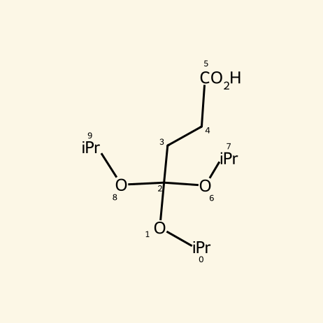 CC(C)OC(CCC(=O)O)(OC(C)C)OC(C)C